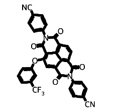 N#Cc1ccc(N2C(=O)c3ccc4c5c(c(Oc6cccc(C(F)(F)F)c6)cc(c35)C2=O)C(=O)N(c2ccc(C#N)cc2)C4=O)cc1